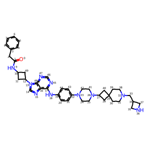 O=C(Cc1ccccc1)NC1CC(n2cnc3c(Nc4ccc(N5CCN(C6CC7(CCN(CC8CNC8)CC7)C6)CC5)cc4)ncnc32)C1